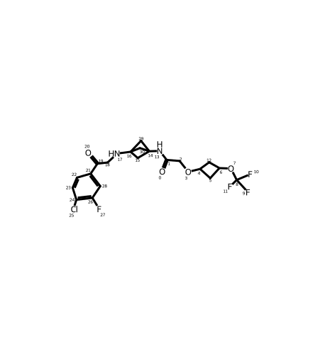 O=C(COC1CC(OC(F)(F)F)C1)NC12CC(NCC(=O)c3ccc(Cl)c(F)c3)(C1)C2